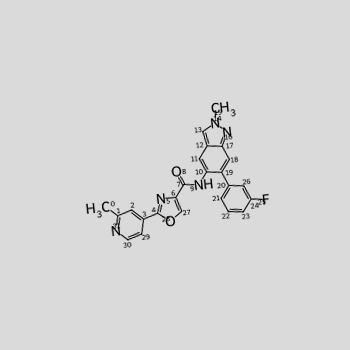 Cc1cc(-c2nc(C(=O)Nc3cc4cn(C)nc4cc3-c3cccc(F)c3)co2)ccn1